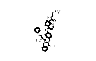 O=C(O)CCNC(=O)c1cccc2c(Oc3ccc(C[C@@H](CO)N(Cc4ccccc4)C[C@H](O)COc4ccccc4)cc3)ccnc12